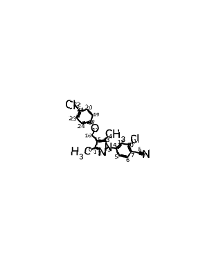 Cc1nn(-c2ccc(C#N)c(Cl)c2)c(C)c1COc1ccc(Cl)cc1